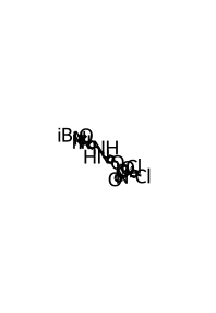 CCC(C)n1ncn(-c2ccc(NCCNc3ccc(OC[C@@H]4CO[C@@](CN5CCOCC5)(c5ccc(Cl)cc5Cl)O4)cc3)cc2)c1=O